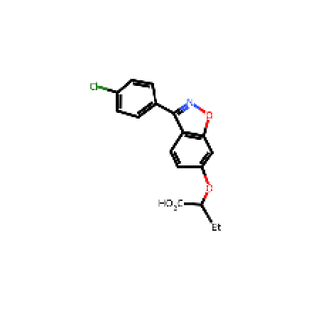 CCC(Oc1ccc2c(-c3ccc(Cl)cc3)noc2c1)C(=O)O